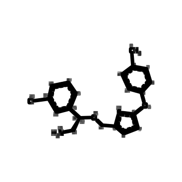 Cc1ccc(Oc2ccc(CO[C@@H](CN)c3cccc(Cl)c3)s2)cc1